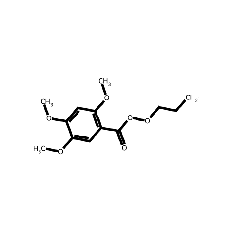 [CH2]C[CH]OOC(=O)c1cc(OC)c(OC)cc1OC